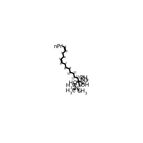 CCC/C=C\CC/C=C\CCCCCCCC(O)(C[N+](C)(C)C)P(=O)(O)O